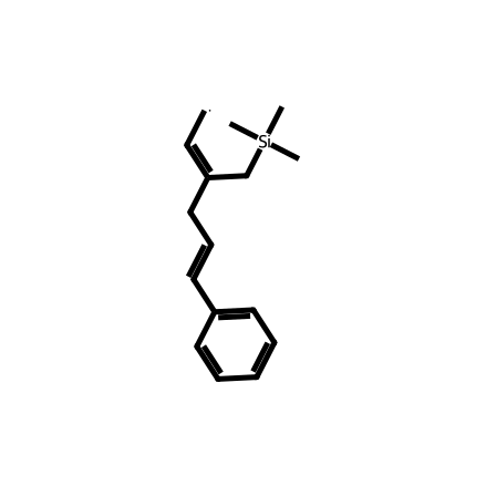 [CH2]C=C(CC=Cc1ccccc1)C[Si](C)(C)C